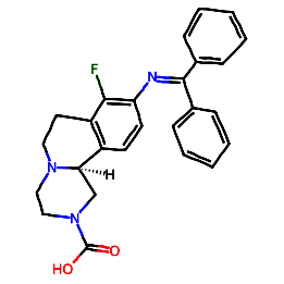 O=C(O)N1CCN2CCc3c(ccc(N=C(c4ccccc4)c4ccccc4)c3F)[C@H]2C1